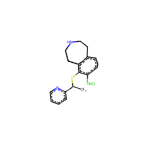 Cl.FC(F)(F)C(Sc1c(Cl)ccc2c1CCNCC2)c1ccccn1